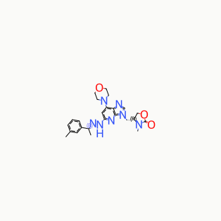 C/C(=N\Nc1cc(N2CCOCC2)c2ncn(C[C@@H]3COC(=O)N3C)c2n1)c1cccc(C)c1